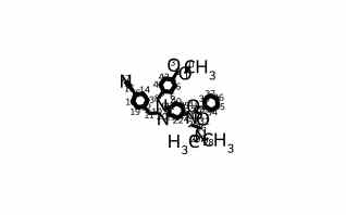 COC(=O)c1ccc(Cn2c(Cc3ccc(C#N)cc3)nc3cc(N(CCN(C)C)S(=O)(=O)c4ccccc4)ccc32)cc1